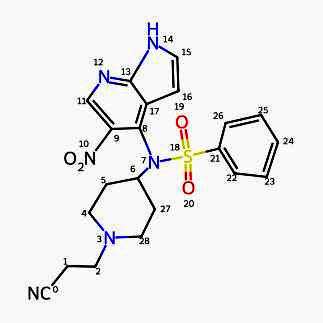 N#CCCN1CCC(N(c2c([N+](=O)[O-])cnc3[nH]ccc23)S(=O)(=O)c2ccccc2)CC1